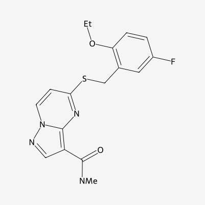 CCOc1ccc(F)cc1CSc1ccn2ncc(C(=O)NC)c2n1